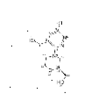 OCc1cc(Cl)nnc1N1CCO[C@H](CO)C1